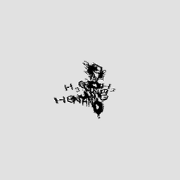 C=CC(=O)Nc1ccccc1Nc1nc(Nc2ccc(N3CCOCC3)cc2OC)ncc1C/C=N/O